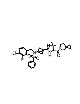 CC1(C)N=C(C23CC(N(Cc4ccc(Cl)c(F)c4)S(=O)(=O)c4ccccc4)(C2)C3)N[C@H]1C(=O)N1CCC2(CC2)C1